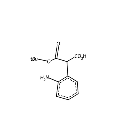 CC(C)(C)OC(=O)C(C(=O)O)c1ccccc1N